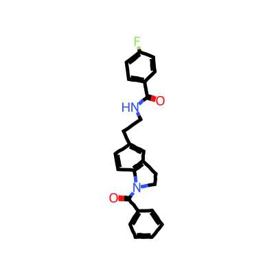 O=C(NCCc1ccc2c(c1)CCN2C(=O)c1ccccc1)c1ccc(F)cc1